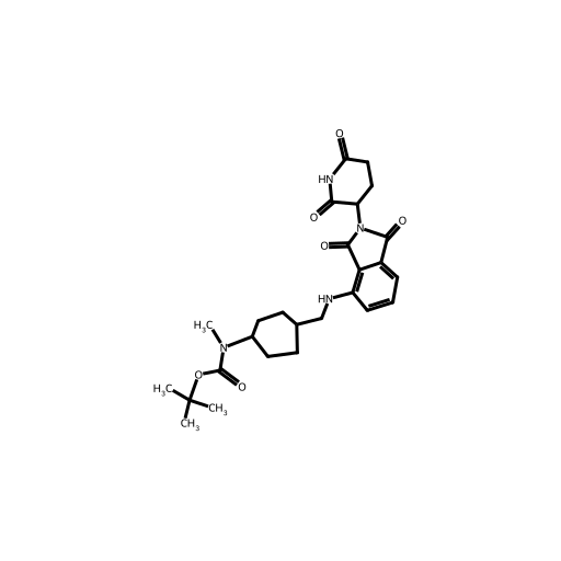 CN(C(=O)OC(C)(C)C)C1CCC(CNc2cccc3c2C(=O)N(C2CCC(=O)NC2=O)C3=O)CC1